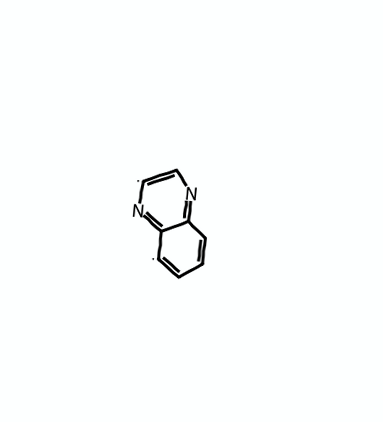 [c]1cnc2ccc[c]c2n1